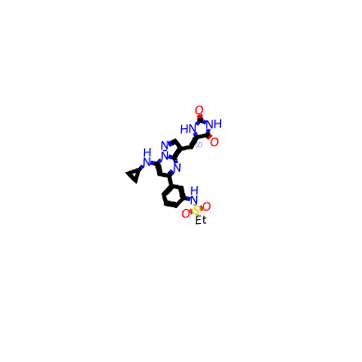 CCS(=O)(=O)Nc1cccc(-c2cc(NC3CC3)n3ncc(/C=C4\NC(=O)NC4=O)c3n2)c1